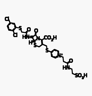 O=C(CC[n+]1ccc(SCC2=C(C(=O)O)N3C(=O)[C@H](NC(=O)CSc4cc(Cl)ccc4Cl)[C@H]3SC2)cc1)NCCS(=O)(=O)O